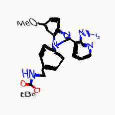 COc1ccc2nc(-c3cccnc3N)n(-c3ccc(CNC(=O)OC(C)(C)C)cc3)c2c1